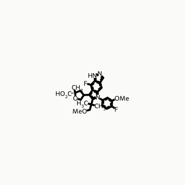 COCC(C)(C)c1c(C2CO[C@](C)(C(=O)O)C2)c2c(F)c3[nH]ncc3cc2n1-c1ccc(F)c(OC)c1